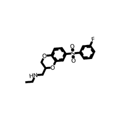 CCNCC1COc2ccc(S(=O)(=O)c3cccc(F)c3)cc2O1